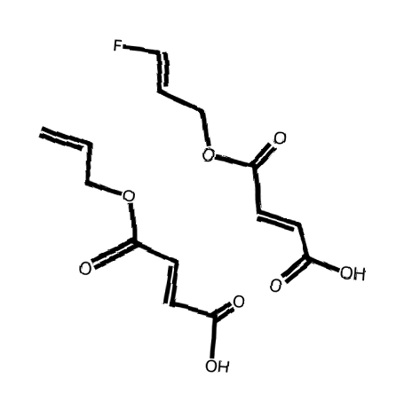 C=CCOC(=O)C=CC(=O)O.O=C(O)C=CC(=O)OCC=CF